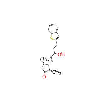 C=C1CC(=O)C(=C)[C@H]1/C=C/C(O)CCc1cc2ccccc2s1